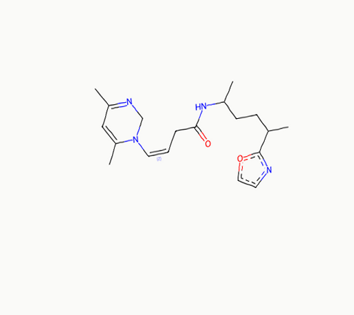 CC1=CC(C)=NCN1/C=C\CC(=O)NC(C)CCC(C)c1ncco1